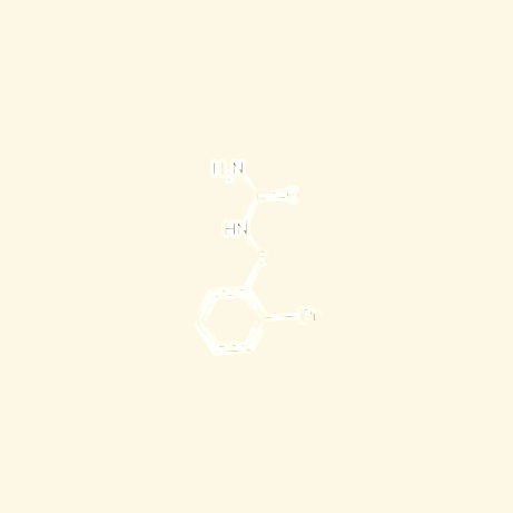 CC(C)c1ccccc1SNC(N)=O